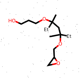 CCC(C)(CC(C)(CC)OCC1CO1)OCCCO